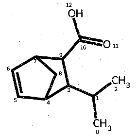 CC(C)C1C2C=CC(C2)C1C(=O)O